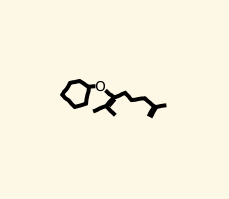 C=C(C)CCCC(OC1CCCCC1)=C(C)C